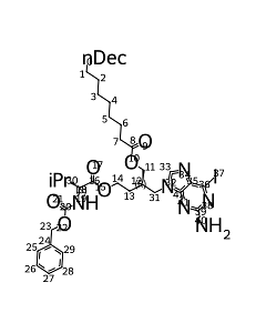 CCCCCCCCCCCCCCCCCC(=O)OC[C@H](CCOC(=O)[C@@H](NC(=O)OCc1ccccc1)C(C)C)Cn1cnc2c(I)nc(N)nc21